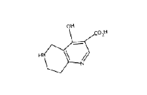 O=C(O)c1cnc2c(c1O)CNCC2